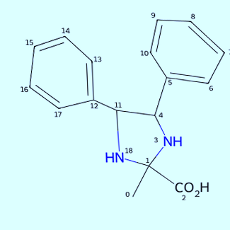 CC1(C(=O)O)NC(c2ccccc2)C(c2ccccc2)N1